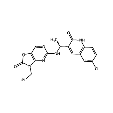 CC(C)Cn1c(=O)oc2cnc(N[C@@H](C)c3cc4cc(Cl)ccc4[nH]c3=O)nc21